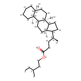 CCC(C)CCOC(=O)CC[C@H](C)C1CCC2[C@@H]3CC[C@@H]4CCCC[C@]4(C)C3CC[C@@]21C